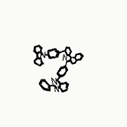 c1ccc(-c2nc(-c3ccc(-c4nc5c(-c6ccc(-n7c8ccccc8c8ccccc87)cc6)cccc5c5c4ccc4ccccc45)cc3)c3ccccc3n2)cc1